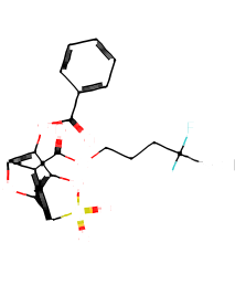 O=C(Oc1c2c3oc1c(C(=O)OCCCC(F)(F)S(=O)(=O)O)c3S(=O)(=O)O2)c1ccccc1